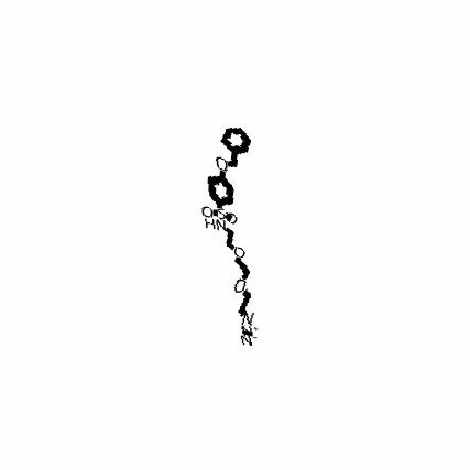 [N-]=[N+]=NCCOCCOCCNS(=O)(=O)c1ccc(OCc2ccccc2)cc1